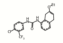 CCOC1=CCc2cccc(NC(=O)Nc3ccc(Cl)c(C(F)(F)F)c3)c2C1